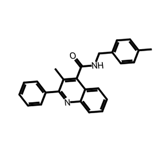 Cc1ccc(CNC(=O)c2c(C)c(-c3ccccc3)nc3ccccc23)cc1